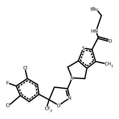 Cc1c(C(=O)NCC(C)(C)C)sc2c1CN(C1=NOC(c3cc(Cl)c(F)c(Cl)c3)(C(F)(F)F)C1)C2